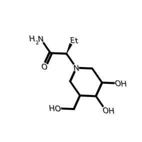 [CH2]C[C@H](C(N)=O)N1CC(O)C(O)C(CO)C1